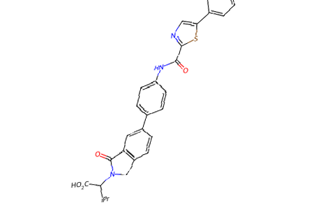 CC(C)C(C(=O)O)N1Cc2ccc(-c3ccc(NC(=O)c4ncc(-c5ccccc5)s4)cc3)cc2C1=O